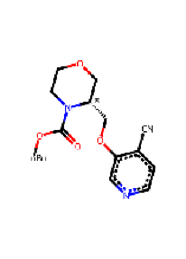 CCCCOC(=O)N1CCOC[C@@H]1COc1cnccc1C#N